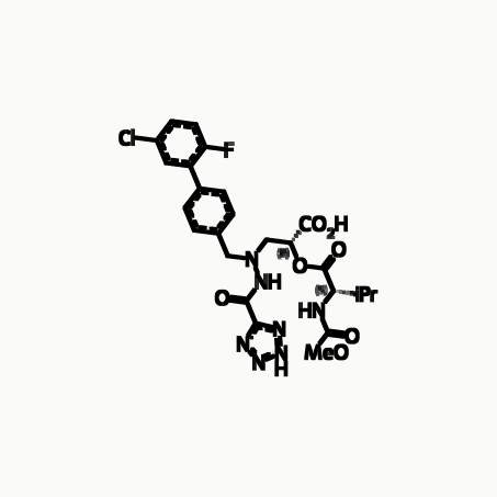 COC(=O)N[C@H](C(=O)O[C@H](CN(Cc1ccc(-c2cc(Cl)ccc2F)cc1)NC(=O)c1nn[nH]n1)C(=O)O)C(C)C